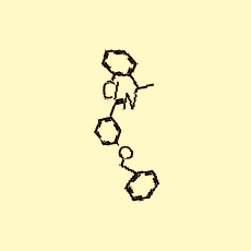 CC(N=Cc1cccc(OCc2ccccc2)c1)c1ccccc1Cl